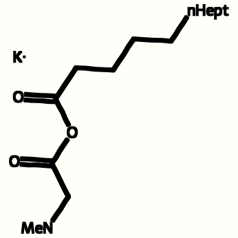 CCCCCCCCCCCC(=O)OC(=O)CNC.[K]